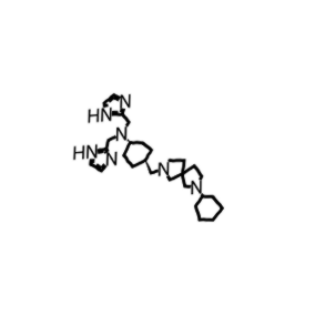 c1c[nH]c(CN(Cc2ncc[nH]2)[C@H]2CC[C@H](CN3CCC4(CCN(C5CCCCC5)C4)C3)CC2)n1